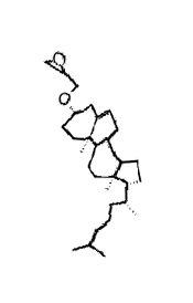 CC(C)CCC[C@@H](C)[C@H]1CCC2C3CC=C4C[C@@H](OCC5CO5)CC[C@]4(C)C3CC[C@@]21C